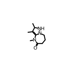 CC1=C2N(CCCC(=O)N2C)NC1C